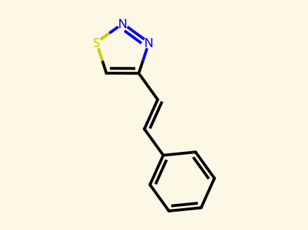 C(=Cc1csnn1)c1ccccc1